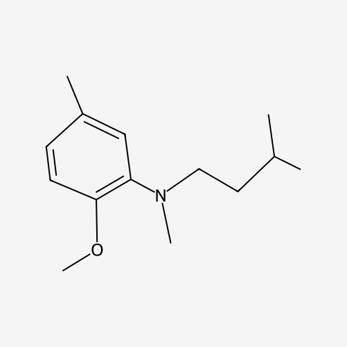 COc1ccc(C)cc1N(C)CCC(C)C